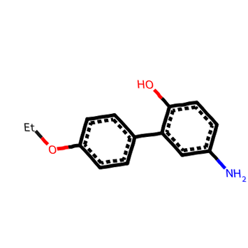 CCOc1ccc(-c2cc(N)ccc2O)cc1